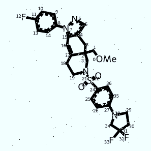 COCC12Cc3cnn(-c4ccc(F)cc4)c3C=C1CCN(S(=O)(=O)c1ccc(N3CCC(F)(F)C3)cc1)C2